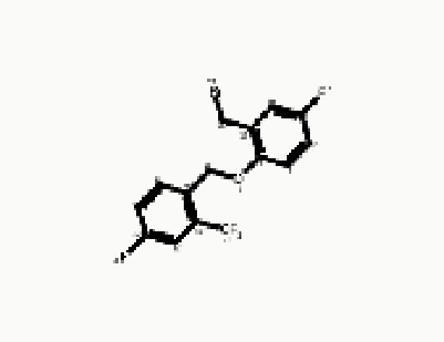 Fc1ccc(OCc2ccc(F)cc2C(F)(F)F)c(CBr)c1